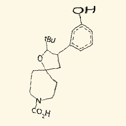 CC(C)(C)C1OC2(CCN(C(=O)O)CC2)CC1c1cccc(O)c1